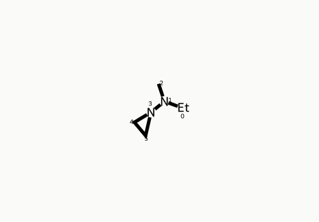 CCN(C)N1CC1